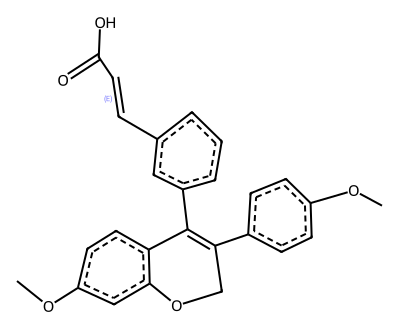 COc1ccc(C2=C(c3cccc(/C=C/C(=O)O)c3)c3ccc(OC)cc3OC2)cc1